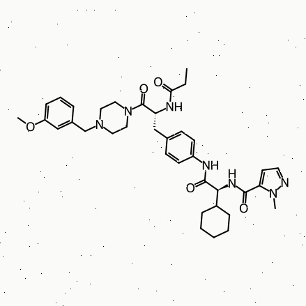 CCC(=O)N[C@H](Cc1ccc(NC(=O)[C@@H](NC(=O)c2ccnn2C)C2CCCCC2)cc1)C(=O)N1CCN(Cc2cccc(OC)c2)CC1